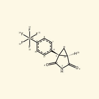 O=C1NC(=O)[C@]2(c3ccc(S(F)(F)(F)(F)F)cc3)C[C@@H]12